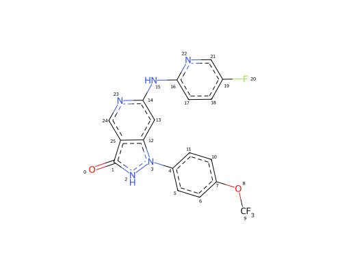 O=c1[nH]n(-c2ccc(OC(F)(F)F)cc2)c2cc(Nc3ccc(F)cn3)ncc12